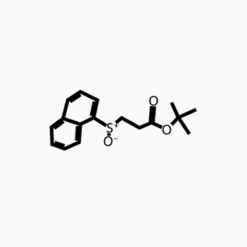 CC(C)(C)OC(=O)CC[S+]([O-])c1cccc2ccccc12